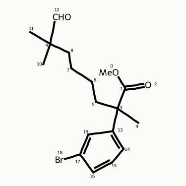 COC(=O)C(C)(CCCCC(C)(C)C=O)c1cccc(Br)c1